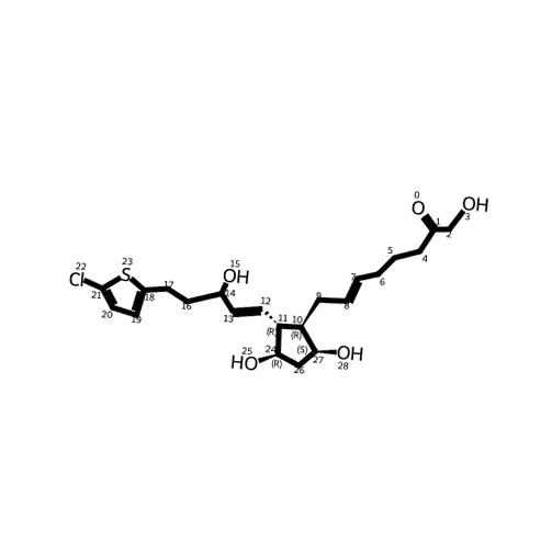 O=C(CO)CCCC=CC[C@@H]1[C@@H](C=CC(O)CCc2ccc(Cl)s2)[C@H](O)C[C@@H]1O